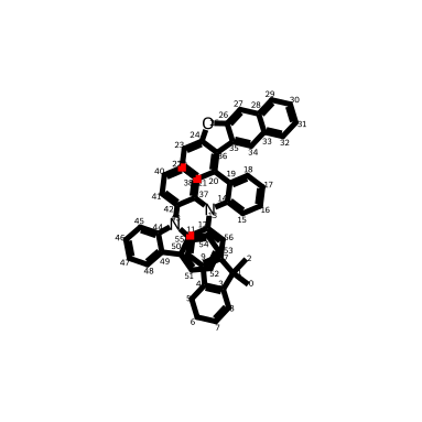 CC1(C)C2=C(CCC=C2)c2ccc(N(c3ccccc3-c3cccc4oc5cc6ccccc6cc5c34)c3ccccc3-n3c4ccccc4c4ccccc43)cc21